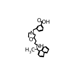 C[C@@H](NCCC1CN(Cc2cccc(C(=O)O)c2)CCO1)c1cccc2ccccc12